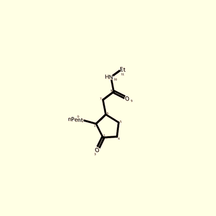 CCCCCC1C(=O)CCC1CC(=O)NCC